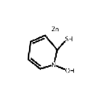 ON1C=CC=CC1S.[Zn]